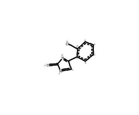 O=C1N=CC(c2ccccc2Cl)=N1